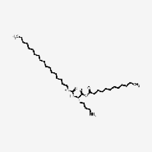 CCCCCCCCCCCCCCCCCCNC(=O)N[C@@H](CCCCN)C(=O)OC(=O)CCCCCCCCCCC